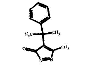 CC1=C(C(C)(C)c2ccccc2)C(=O)N=N1